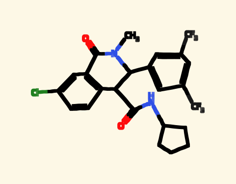 CN1C(=O)c2cc(Cl)ccc2C(C(=O)NC2CCCC2)C1c1cc(C(F)(F)F)cc(C(F)(F)F)c1